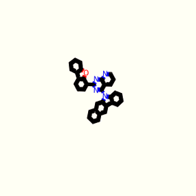 c1ccc2cc3c(cc2c1)c1ccccc1n3-c1nc(-c2cccc3c2oc2ccccc23)nc2ncccc12